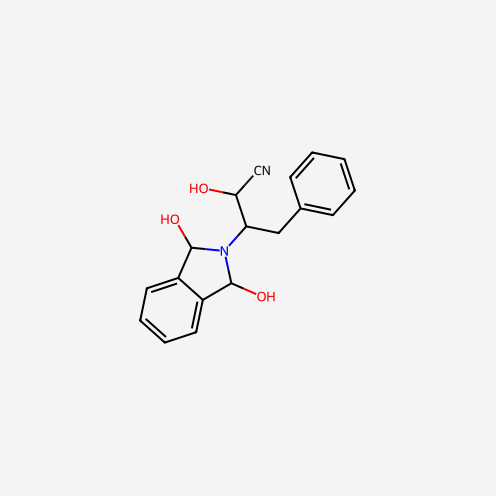 N#CC(O)C(Cc1ccccc1)N1C(O)c2ccccc2C1O